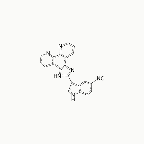 [C-]#[N+]c1ccc2[nH]cc(-c3nc4c5cccnc5c5ncccc5c4[nH]3)c2c1